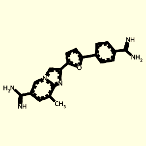 Cc1cc(C(=N)N)cn2cc(-c3ccc(-c4ccc(C(=N)N)cc4)o3)nc12